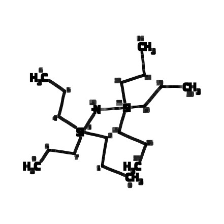 CCC[Si](CCC)(CCC)[N][Si](CCC)(CCC)CCC